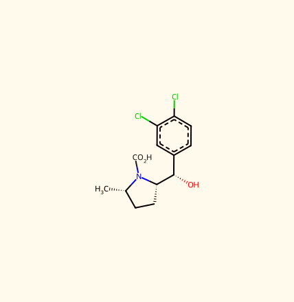 C[C@H]1CC[C@@H]([C@@H](O)c2ccc(Cl)c(Cl)c2)N1C(=O)O